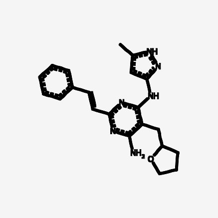 Cc1cc(Nc2nc(C=Cc3ccccc3)nc(N)c2CC2CCCO2)n[nH]1